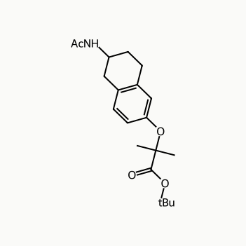 CC(=O)NC1CCc2cc(OC(C)(C)C(=O)OC(C)(C)C)ccc2C1